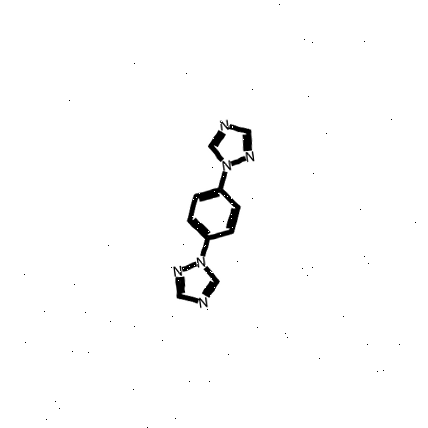 c1ncn(-c2ccc(-n3cncn3)cc2)n1